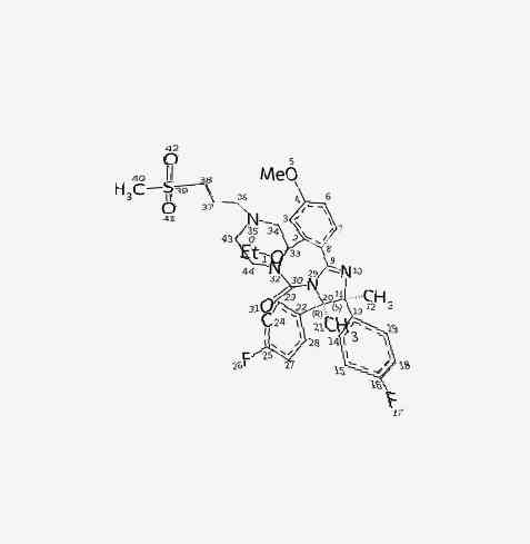 CCOc1cc(OC)ccc1C1=N[C@@](C)(c2ccc(F)cc2)[C@@](C)(c2ccc(F)cc2)N1C(=O)N1CCN(CCCS(C)(=O)=O)CC1